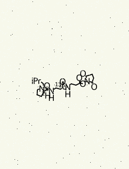 [2H]C1(C(=O)[15NH]CC[13C](=O)[15NH]CCC(=O)ON2C(=O)CCC2=O)CCCN1C[13CH]([13CH3])[13CH3]